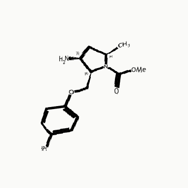 COC(=O)N1[C@H](C)C[C@H](N)[C@@H]1COc1ccc(C(C)C)cc1